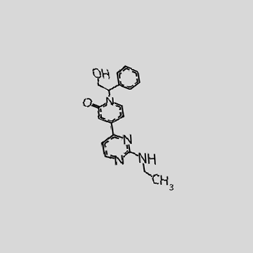 CCNc1nccc(-c2ccn(C(CO)c3ccccc3)c(=O)c2)n1